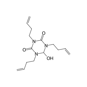 C=CCCN1C(=O)N(CCC=C)C(O)N(CCC=C)C1=O